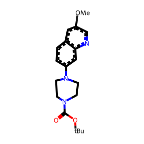 COc1cnc2cc(N3CCN(C(=O)OC(C)(C)C)CC3)ccc2c1